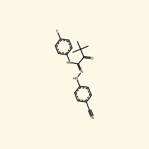 CC(C)(C)C(=O)/C(=N/Nc1ccc(C#N)cc1)Nc1ccc(F)cc1